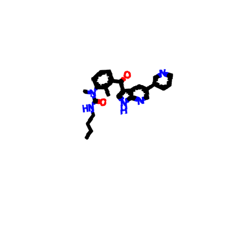 CCCCNC(=O)N(C)c1cccc(C(=O)c2c[nH]c3ncc(-c4cccnc4)cc23)c1C